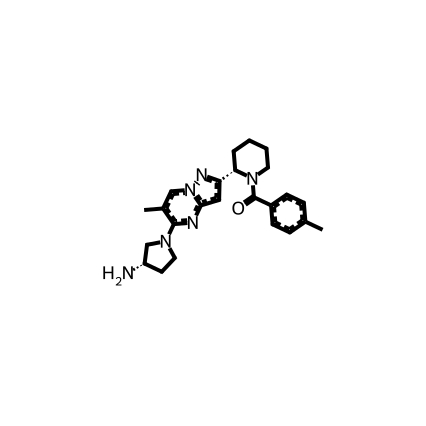 Cc1ccc(C(=O)N2CCCC[C@H]2c2cc3nc(N4CC[C@H](N)C4)c(C)cn3n2)cc1